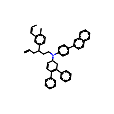 C=CCC(CCN(c1ccc(-c2ccc3ccccc3c2)cc1)C1C=CC(c2ccccc2)=C(c2ccccc2)C1)c1ccc(C)c(/C=C\C)c1